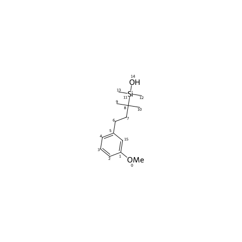 COc1cccc(CCC(C)(C)[Si](C)(C)O)c1